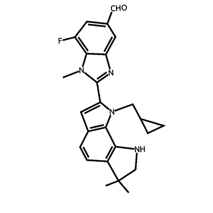 Cn1c(-c2cc3ccc4c(c3n2CC2CC2)NCC4(C)C)nc2cc(C=O)cc(F)c21